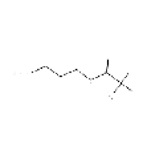 CCCCCCCCCCCC(O)C(N)(O)CC